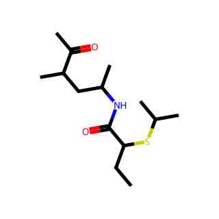 CCC(SC(C)C)C(=O)NC(C)CC(C)C(C)=O